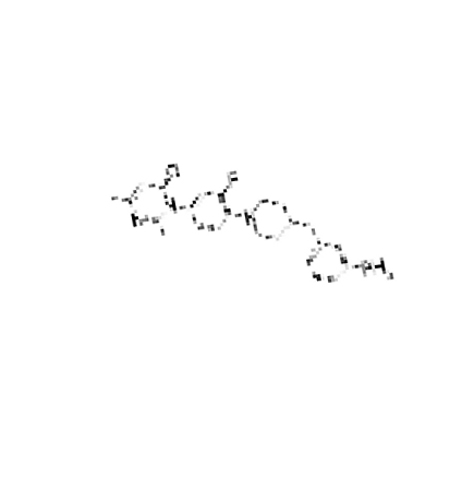 Cc1cc(=O)n(-c2ccc(N3CCC(Cc4cccc(P)c4)CC3)c(F)c2)c(C)n1